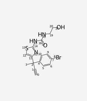 C#CC(C)(c1ccc(Br)cc1)c1csc(NC(=O)NCCO)n1